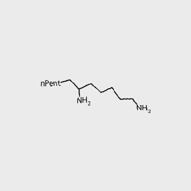 CCCCCCC(N)CCCCCN